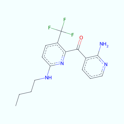 CCCCNc1ccc(C(F)(F)F)c(C(=O)c2cccnc2N)n1